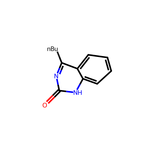 CCCCc1nc(=O)[nH]c2ccccc12